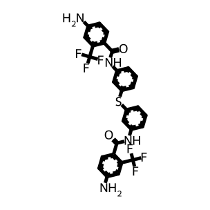 Nc1ccc(C(=O)Nc2cccc(Sc3cccc(NC(=O)c4ccc(N)cc4C(F)(F)F)c3)c2)c(C(F)(F)F)c1